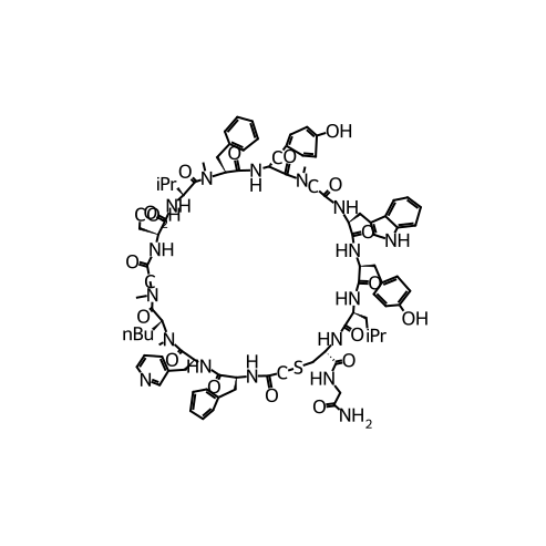 CCCC[C@H]1C(=O)N(C)CC(=O)N[C@@H](CC(=O)O)C(=O)N[C@@H](C(C)C)C(=O)N(C)[C@@H](Cc2ccccc2)C(=O)N[C@@H](Cc2ccc(O)cc2)C(=O)N(C)CC(=O)N[C@@H](Cc2c[nH]c3ccccc23)C(=O)N[C@@H](Cc2ccc(O)cc2)C(=O)N[C@@H](CC(C)C)C(=O)N[C@H](C(=O)NCC(N)=O)CSCC(=O)N[C@@H](Cc2ccccc2)C(=O)N[C@@H](Cc2cccnc2)C(=O)N1C